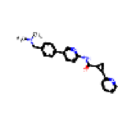 CN(C)Cc1ccc(-c2ccc(NC(=O)C3CC3c3ccccn3)nc2)cc1